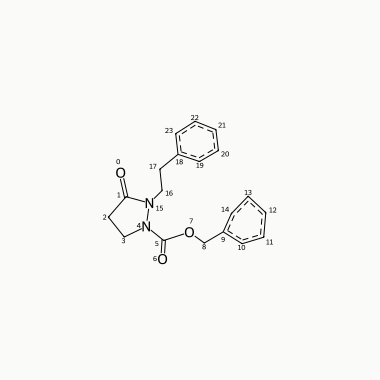 O=C1CCN(C(=O)OCc2ccccc2)N1CCc1ccccc1